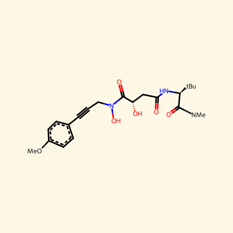 CNC(=O)[C@@H](NC(=O)C[C@H](O)C(=O)N(O)CC#Cc1ccc(OC)cc1)C(C)(C)C